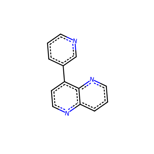 c1cncc(-c2ccnc3cccnc23)c1